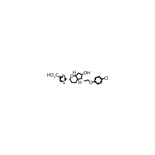 O=C(O)c1csc([C@H]2CC[C@@H]3[C@@H](CCOc4ccc(Cl)cc4)[C@H](O)C[C@@H]3O2)n1